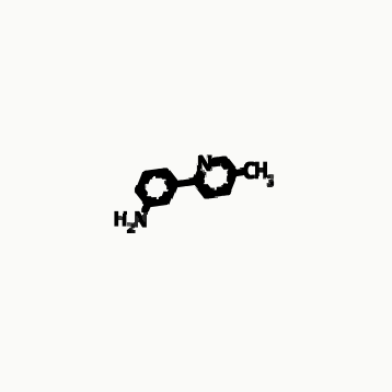 Cc1ccc(-c2cccc(N)c2)nc1